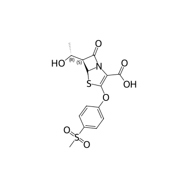 C[C@@H](O)[C@H]1C(=O)N2C(C(=O)O)=C(Oc3ccc(S(C)(=O)=O)cc3)SC12